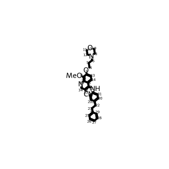 COc1c(OCCCN2CCOCC2)ccc2c(Nc3ccc(CCc4ccccc4)cc3)c(C#N)cnc12